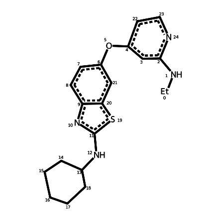 CCNc1cc(Oc2ccc3nc(NC4CCCCC4)sc3c2)ccn1